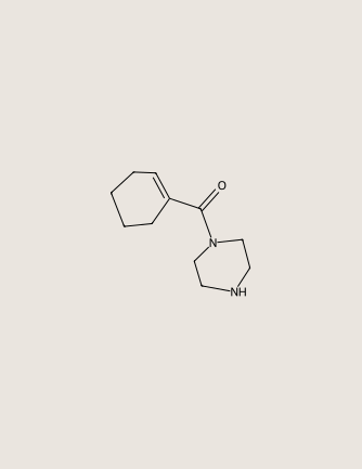 O=C(C1=CCCCC1)N1CCNCC1